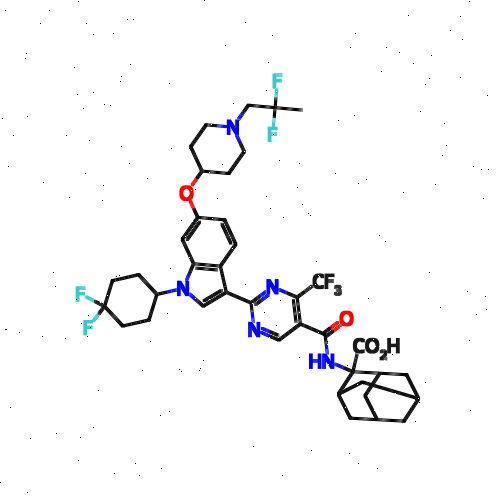 CC(F)(F)CN1CCC(Oc2ccc3c(-c4ncc(C(=O)NC5(C(=O)O)C6CC7CC(C6)CC5C7)c(C(F)(F)F)n4)cn(C4CCC(F)(F)CC4)c3c2)CC1